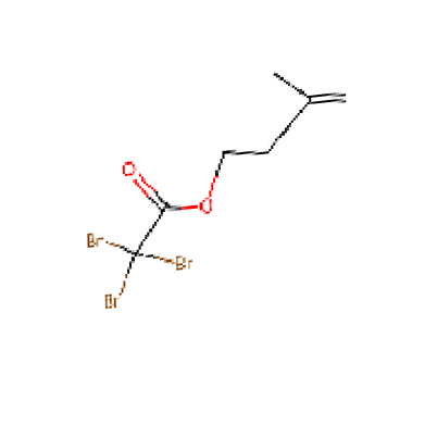 C=C(C)CCOC(=O)C(Br)(Br)Br